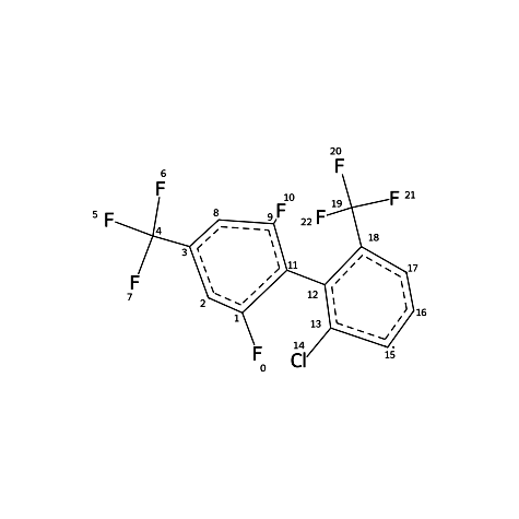 Fc1cc(C(F)(F)F)cc(F)c1-c1c(Cl)[c]ccc1C(F)(F)F